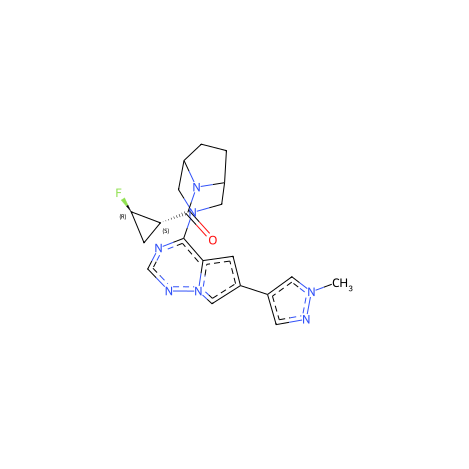 Cn1cc(-c2cc3c(N4CC5CCC(C4)N5C(=O)[C@@H]4C[C@H]4F)ncnn3c2)cn1